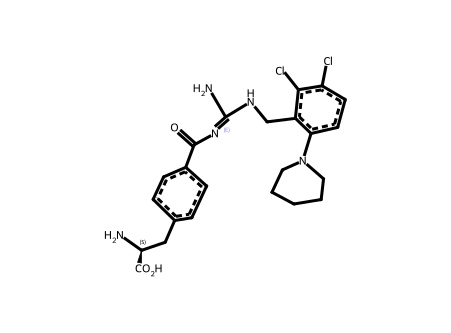 N/C(=N\C(=O)c1ccc(C[C@H](N)C(=O)O)cc1)NCc1c(N2CCCCC2)ccc(Cl)c1Cl